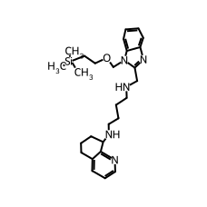 C[Si](C)(C)CCOCn1c(CNCCCCNC2CCCc3cccnc32)nc2ccccc21